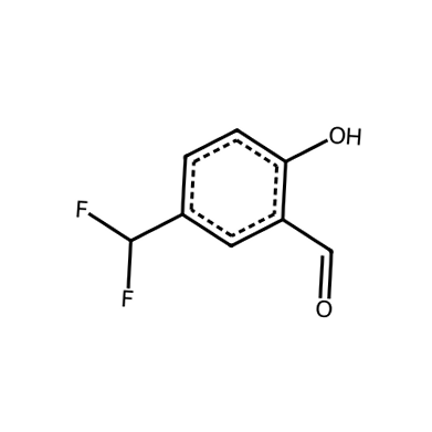 O=Cc1cc(C(F)F)ccc1O